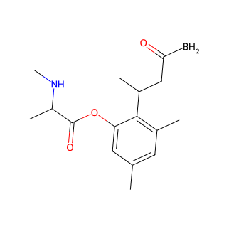 BC(=O)CC(C)c1c(C)cc(C)cc1OC(=O)C(C)NC